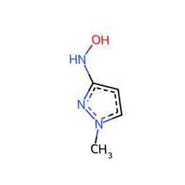 Cn1ccc(NO)n1